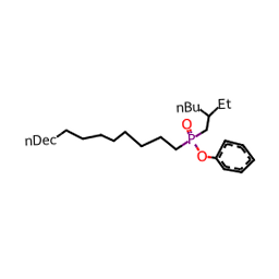 CCCCCCCCCCCCCCCCCCP(=O)(CC(CC)CCCC)Oc1ccccc1